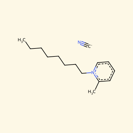 CCCCCCCC[n+]1ccccc1C.[C-]#N